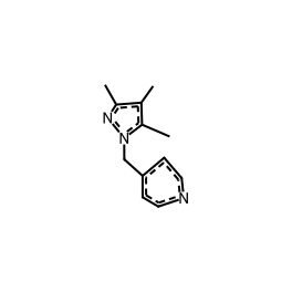 Cc1nn(Cc2ccncc2)c(C)c1C